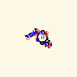 C=CC(=O)N1CCN(C(=O)N(C)[C@H](C(=O)N[C@H]2Cc3nc(cs3)-c3ccc4c(c3)c(c(/C(C=C)=C(/N=C\C)[C@H](C)OC)n4CC)CC(C)(C)COC(=O)[C@@H]3CCCN(N3)C2=O)C(C)C)C[C@@H]1C